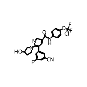 N#Cc1cc(F)cc(-c2cc(C(=O)Nc3ccc(OC(F)(F)Cl)cc3)cnc2N2CCC(O)C2)c1